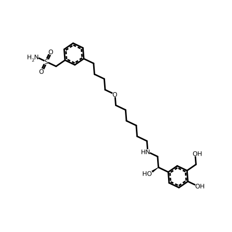 NS(=O)(=O)Cc1cccc(CCCCOCCCCCCNC[C@H](O)c2ccc(O)c(CO)c2)c1